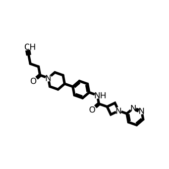 C#CCCC(=O)N1CCC(c2ccc(NC(=O)C3CN(c4cccnn4)C3)cc2)CC1